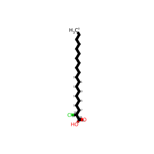 CCCCCCCCCCCCCCCCCCC(Cl)C(=O)O